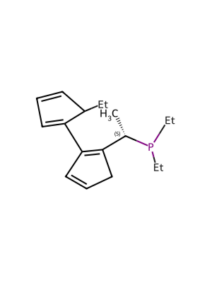 CCC1C=CC=C1C1=C([C@H](C)P(CC)CC)CC=C1